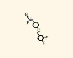 N#C/C(F)=C/[C@H]1CC[C@H](OCc2ccc(F)c(F)c2)CC1